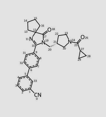 N#Cc1cccc(-c2ccc(C3=NC4(CCCC4)C(=O)N3C[C@@H]3CCN(C(=O)C4CC4)C3)cc2)c1